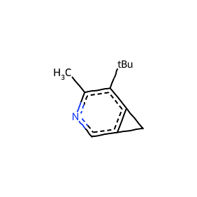 Cc1ncc2c(c1C(C)(C)C)C2